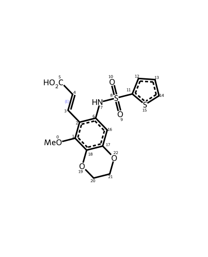 COc1c(/C=C/C(=O)O)c(NS(=O)(=O)c2cccs2)cc2c1OCCO2